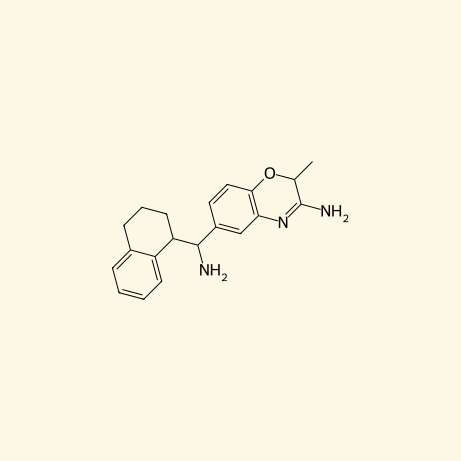 CC1Oc2ccc(C(N)C3CCCc4ccccc43)cc2N=C1N